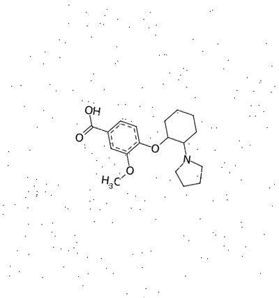 COc1cc(C(=O)O)ccc1OC1CCCCC1N1CCCC1